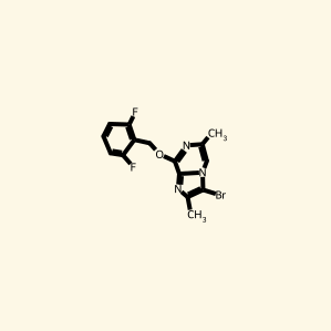 Cc1cn2c(Br)c(C)nc2c(OCc2c(F)cccc2F)n1